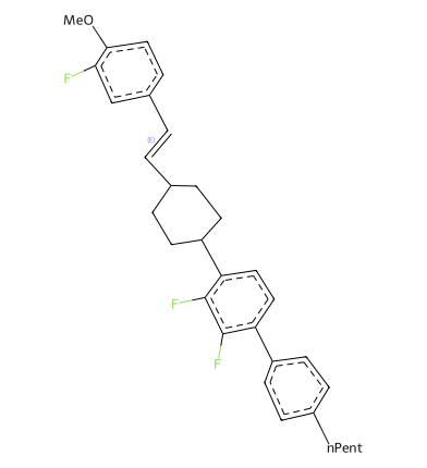 CCCCCc1ccc(-c2ccc(C3CCC(/C=C/c4ccc(OC)c(F)c4)CC3)c(F)c2F)cc1